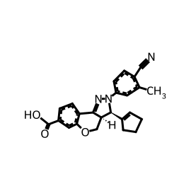 Cc1cc(N2N=C3c4ccc(C(=O)O)cc4OC[C@@H]3[C@@H]2C2=CCCC2)ccc1C#N